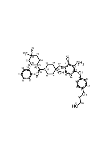 Nc1c(Oc2ccc(OCCO)cc2)ncn(CC2(O)CCN(C(=O)[C@@H]3CCC(F)(F)C[C@H]3c3ccccc3)CC2)c1=O